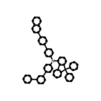 c1ccc(-c2cccc(-c3ccc(N(c4ccc(-c5ccc(-c6ccc7ccccc7c6)cc5)cc4)c4cccc5c4-c4ccccc4C5(c4ccccc4)c4ccccc4)cc3)c2)cc1